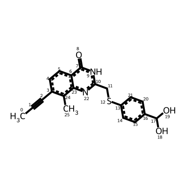 CC#Cc1ccc2c(=O)[nH]c(CSc3ccc(C(O)O)cc3)nc2c1C